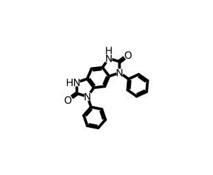 O=c1[nH]c2cc3[nH]c(=O)n(-c4ccccc4)c3cc2n1-c1ccccc1